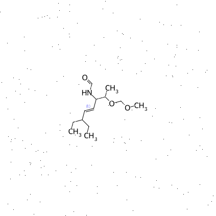 CCC(/C=C/C(NC=O)C(C)OCOC)CC